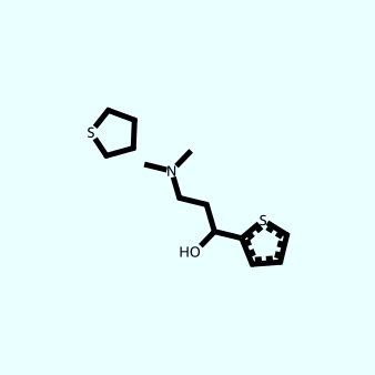 C1CCSC1.CN(C)CCC(O)c1cccs1